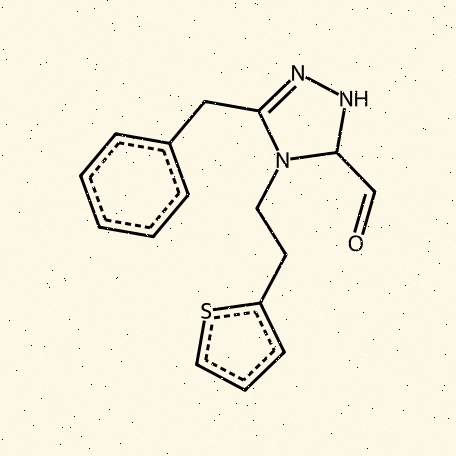 O=CC1NN=C(Cc2ccccc2)N1CCc1cccs1